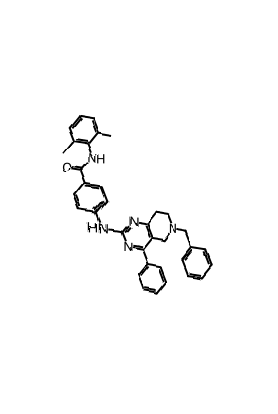 Cc1cccc(C)c1NC(=O)c1ccc(Nc2nc3c(c(-c4ccccc4)n2)CN(Cc2ccccc2)CC3)cc1